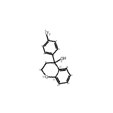 OC1(c2ccc(C(F)(F)F)cc2)CCOc2ccccc21